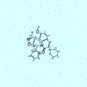 COc1ccc2cc(C3CCCCC3)c(=O)n(Cc3ccccn3)c2c1-c1c(C)noc1C